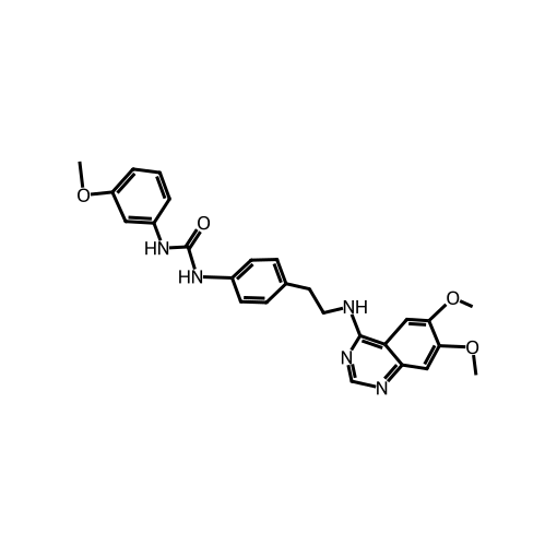 COc1cccc(NC(=O)Nc2ccc(CCNc3ncnc4cc(OC)c(OC)cc34)cc2)c1